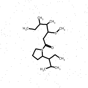 CCC(C)C(C)C(CC(=O)N1CCCC1C(CC)C(C)C)SC